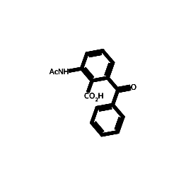 CC(=O)Nc1cccc(C(=O)c2ccccc2)c1C(=O)O